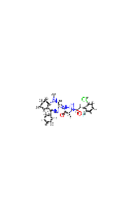 CC(NC(=O)Cc1c(F)cccc1Cl)C(=O)N[C@@H]1CN(C)c2ccccc2C(c2ccccc2)=N1